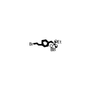 CCO[Si](Cc1ccc(CCBr)cc1)(OCC)OCC